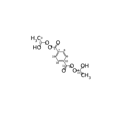 CC(O)OOC(=O)c1ccc(C(=O)OOC(C)O)cc1